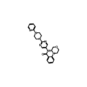 O=C(Nc1cnc(N2CCN(c3ccccn3)CC2)nc1)c1ccccc1N1CCOCC1